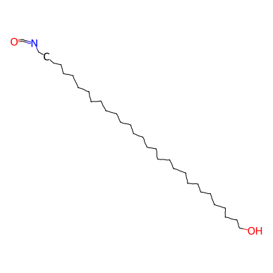 O=C=NCCCCCCCCCCCCCCCCCCCCCCCCCCCCCCCO